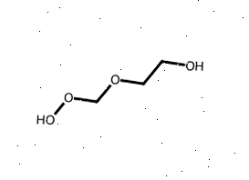 OCCOCOO